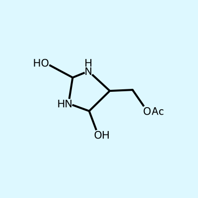 CC(=O)OCC1NC(O)NC1O